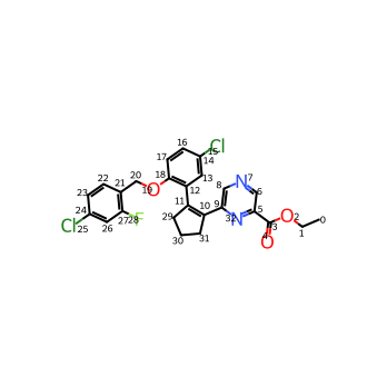 CCOC(=O)c1cncc(C2=C(c3cc(Cl)ccc3OCc3ccc(Cl)cc3F)CCC2)n1